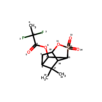 CC(F)(F)C(=O)OC1C2CC3OS(=O)(=O)C1C3C2(C)C